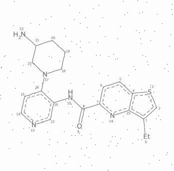 CCc1csc2ccc(C(=O)Nc3cnccc3N3CCCC(N)C3)nc12